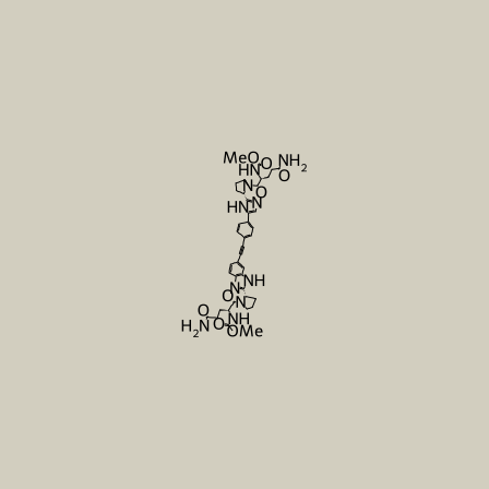 COC(=O)N[C@@H](CCC(N)=O)C(=O)N1CCC[C@H]1c1ncc(-c2ccc(C#Cc3ccc4nc([C@@H]5CCCN5C(=O)[C@H](CCC(N)=O)NC(=O)OC)[nH]c4c3)cc2)[nH]1